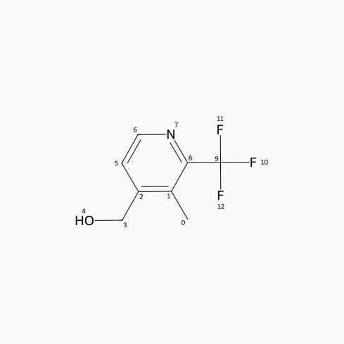 Cc1c(CO)ccnc1C(F)(F)F